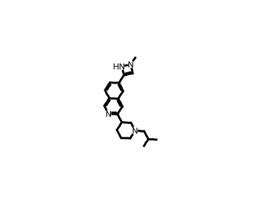 CC(C)CN1CCCC(c2cc3cc(-c4cn(C)[nH]4)ccc3cn2)C1